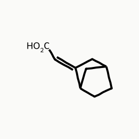 O=C(O)/C=C1\CC2CCC1C2